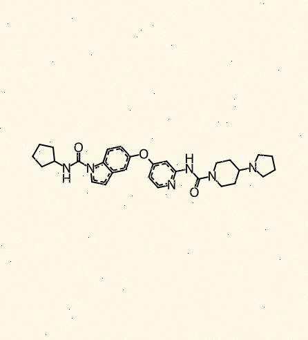 O=C(Nc1cc(Oc2ccc3c(ccn3C(=O)NC3CCCC3)c2)ccn1)N1CCC(N2CCCC2)CC1